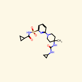 CC1(NC(=O)NC2CC2)CCN(c2cccc(S(=O)(=O)NC(=O)C3CC3)n2)CC1